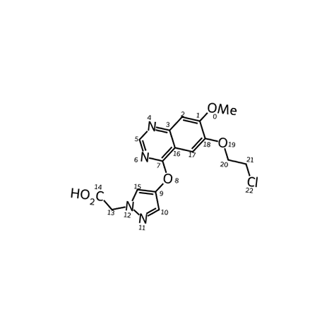 COc1cc2ncnc(Oc3cnn(CC(=O)O)c3)c2cc1OCCCl